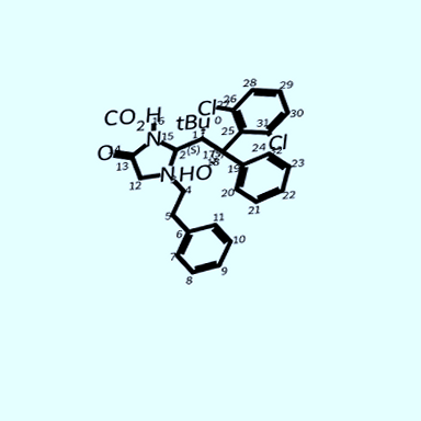 CC(C)(C)[C@@H](C1N(CCc2ccccc2)CC(=O)N1C(=O)O)[C@](O)(c1ccccc1)c1c(Cl)cccc1Cl